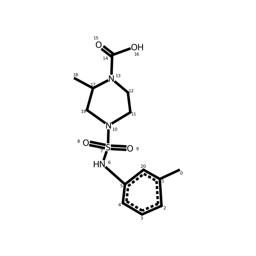 Cc1cccc(NS(=O)(=O)N2CCN(C(=O)O)C(C)C2)c1